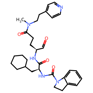 CN(CCc1ccncc1)C(=O)CC[C@@H](C=O)NC(=O)[C@H](CC1CCCCC1)NC(=O)N1CCc2ccccc21